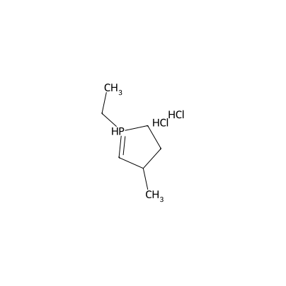 CC[PH]1=CC(C)CC1.Cl.Cl